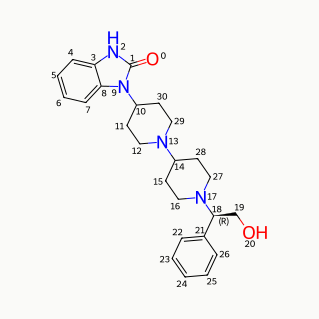 O=c1[nH]c2ccccc2n1C1CCN(C2CCN([C@@H](CO)c3ccccc3)CC2)CC1